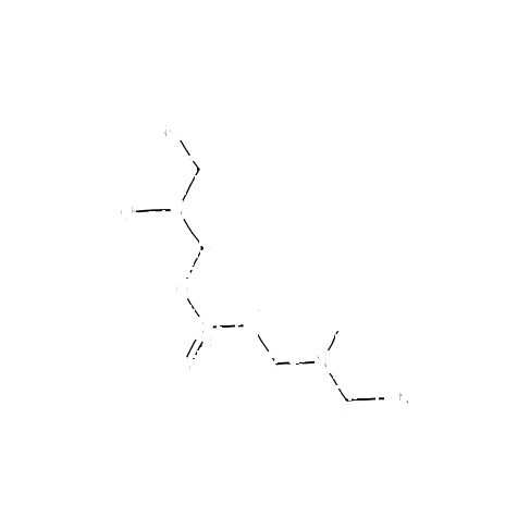 N#CCN(Cl)CO[PH](=O)OCN(Cl)CC#N